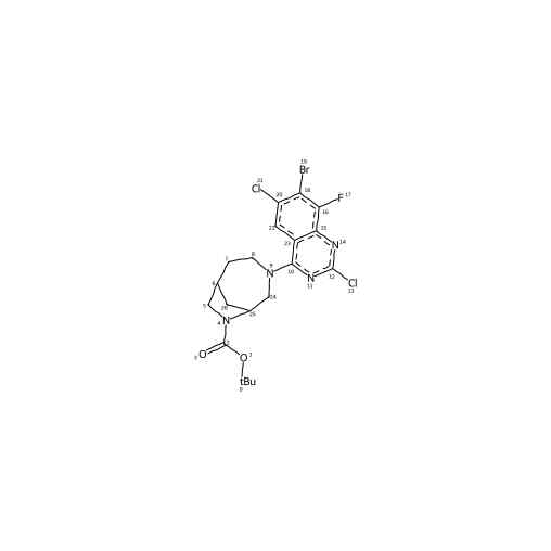 CC(C)(C)OC(=O)N1CC2CCN(c3nc(Cl)nc4c(F)c(Br)c(Cl)cc34)CC1C2